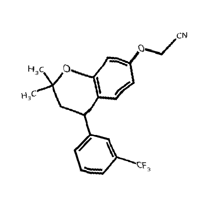 CC1(C)CC(c2cccc(C(F)(F)F)c2)c2ccc(OCC#N)cc2O1